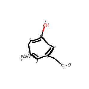 O=Cc1cccc(O)c1.[NaH]